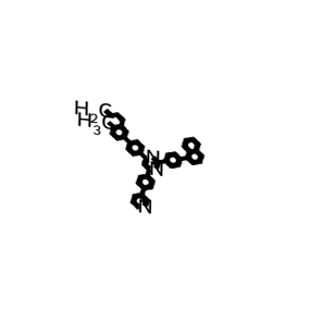 C=C/C=C\c1cc(-c2ccc(-c3cc(-c4ccc(-c5cccnc5)cc4)nc(-c4ccc(-c5cccc6ccccc56)cc4)n3)cc2)ccc1C